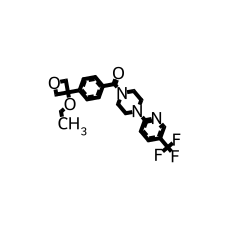 CCOC1(c2ccc(C(=O)N3CCN(c4ccc(C(F)(F)F)cn4)CC3)cc2)COC1